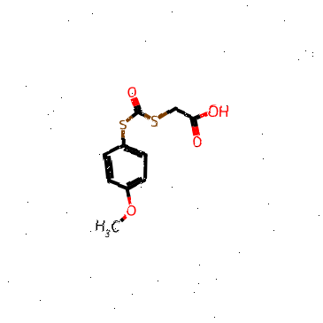 COc1ccc(SC(=O)SCC(=O)O)cc1